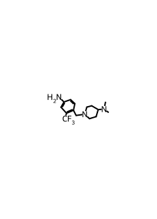 CN(C)C1CCN(Cc2ccc(N)cc2C(F)(F)F)CC1